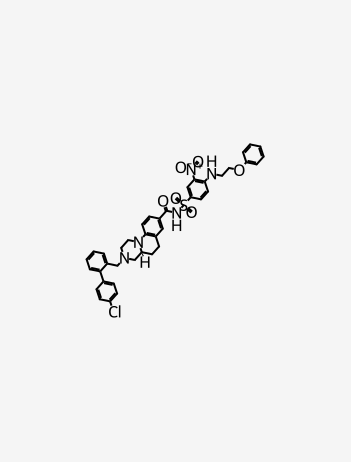 O=C(NS(=O)(=O)c1ccc(NCCOc2ccccc2)c([N+](=O)[O-])c1)c1ccc2c(c1)CC[C@H]1CN(Cc3ccccc3-c3ccc(Cl)cc3)CCN21